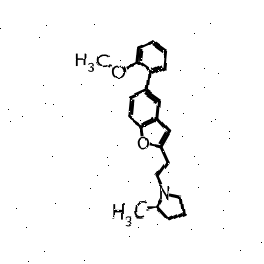 COc1ccccc1-c1ccc2oc(CCN3CCC[C@H]3C)cc2c1